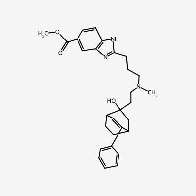 COC(=O)c1ccc2[nH]c(CCCN(C)CCC3(O)CC4CCC3C=C4c3ccccc3)nc2c1